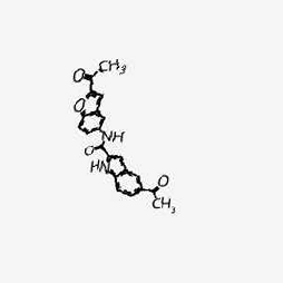 CC(=O)c1ccc2[nH]c(C(=O)Nc3ccc4oc(C(C)=O)cc4c3)cc2c1